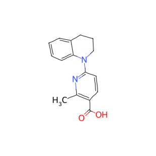 Cc1nc(N2CCCc3ccccc32)ccc1C(=O)O